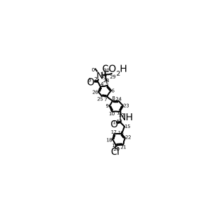 CN(C(=O)c1ccc(-c2ccc(NC(=O)Cc3ccc(Cl)cc3)cc2)cc1)C(C)(C)C(=O)O